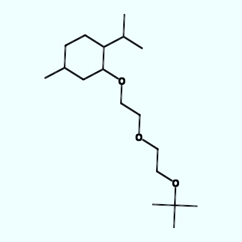 CC1CCC(C(C)C)C(OCCOCCOC(C)(C)C)C1